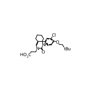 CC(C)(C)CCOc1ccc(C23CCCCC2=CN(CCC(=O)O)C(=O)N3)cc1Cl